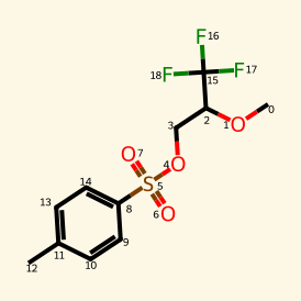 COC(COS(=O)(=O)c1ccc(C)cc1)C(F)(F)F